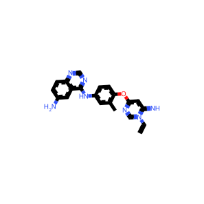 C=Cn1cnc(Oc2ccc(Nc3ncnc4ccc(N)cc34)cc2C)cc1=N